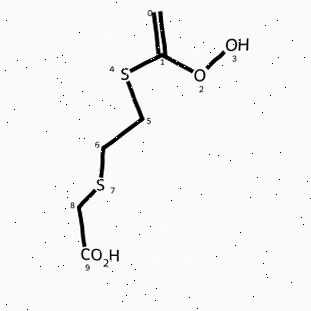 C=C(OO)SCCSCC(=O)O